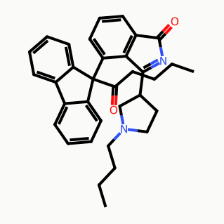 CCCCC(=O)C1(c2cccc3c2C(C2CCN(CCCC)C2)=NC3=O)c2ccccc2-c2ccccc21